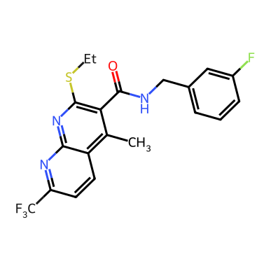 CCSc1nc2nc(C(F)(F)F)ccc2c(C)c1C(=O)NCc1cccc(F)c1